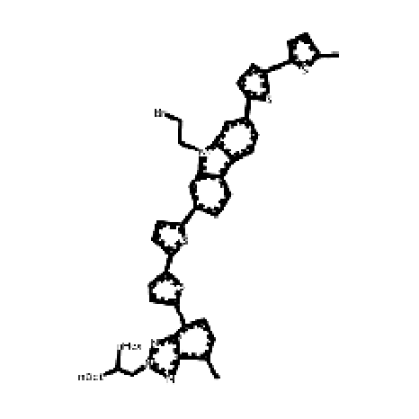 CCCCCCCCC(CCCCCC)Cn1nc2c(C)ccc(-c3ccc(-c4ccc(-c5ccc6c7ccc(-c8ccc(-c9ccc(C)s9)s8)cc7n(CCBr)c6c5)s4)s3)c2n1